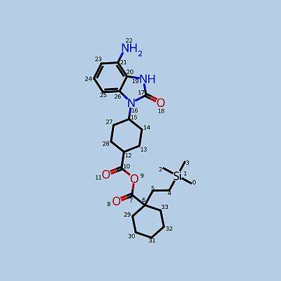 C[Si](C)(C)CCC1(C(=O)OC(=O)C2CCC(n3c(=O)[nH]c4c(N)cccc43)CC2)CCCCC1